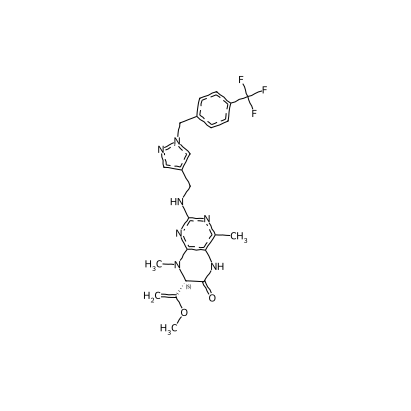 C=C(OC)[C@H]1C(=O)Nc2c(C)nc(NCc3cnn(Cc4ccc(C(F)(F)F)cc4)c3)nc2N1C